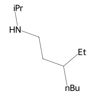 CCCCC(CC)CCNC(C)C